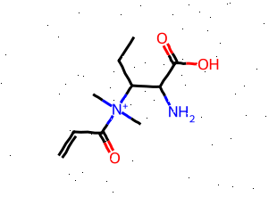 C=CC(=O)[N+](C)(C)C(CC)C(N)C(=O)O